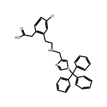 O=C(O)Cc1ccc(Cl)cc1CCNCc1cn(C(c2ccccc2)(c2ccccc2)c2ccccc2)cn1